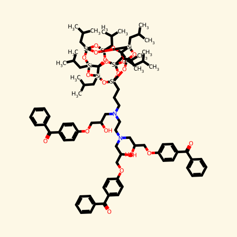 CC(C)C[Si]12OC34O[Si]5(CC(C)C)OC6(O1)[Si]1(CC(C)C)O[Si](CCCN(CCN(CC(O)COc7ccc(C(=O)c8ccccc8)cc7)CC(O)COc7ccc(C(=O)c8ccccc8)cc7)CC(O)COc7ccc(C(=O)c8ccccc8)cc7)(O2)O[Si]3(CC(C)C)O[Si]4(CC(C)C)O[Si](CC(C)C)(O5)O[Si]6(CC(C)C)O1